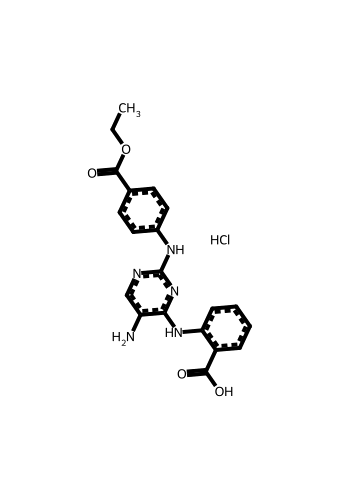 CCOC(=O)c1ccc(Nc2ncc(N)c(Nc3ccccc3C(=O)O)n2)cc1.Cl